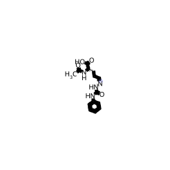 CC(=O)N[C@@H](CC/C=N\NC(=O)Nc1ccccc1)C(=O)O